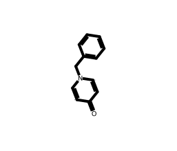 O=c1[c]cn(Cc2ccccc2)[c]c1